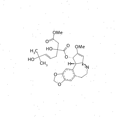 COC(=O)CC(O)(C/C=C/C(C)(C)O)C(=O)O[C@@H]1C(OC)=C[C@]23CCCN2CCc2cc4c(cc2[C@H]13)OCO4